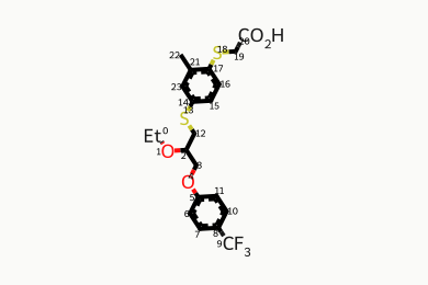 CCOC(COc1ccc(C(F)(F)F)cc1)CSc1ccc(SCC(=O)O)c(C)c1